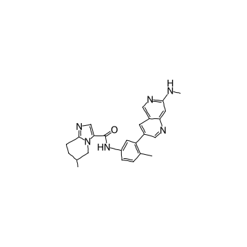 CNc1cc2ncc(-c3cc(NC(=O)c4cnc5n4CC(C)CC5)ccc3C)cc2cn1